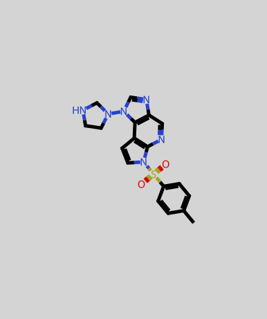 Cc1ccc(S(=O)(=O)n2ccc3c4c(cnc32)ncn4N2CCNC2)cc1